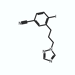 N#Cc1ccc(I)c(CCCn2cncn2)c1